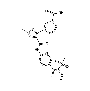 Cc1cc(C(=O)Nc2ccc(-c3ccccc3S(C)(=O)=O)cn2)n(-c2cccc(C(=N)N)c2)n1